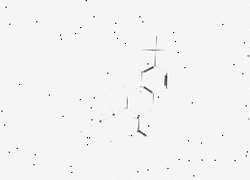 CC(C)(C)c1ccc2c(c1)OC(C(F)(F)C(F)(F)F)C(C(=O)O)C2